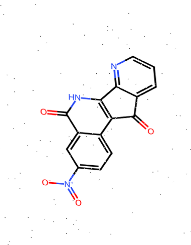 O=C1c2cccnc2-c2[nH]c(=O)c3cc([N+](=O)[O-])ccc3c21